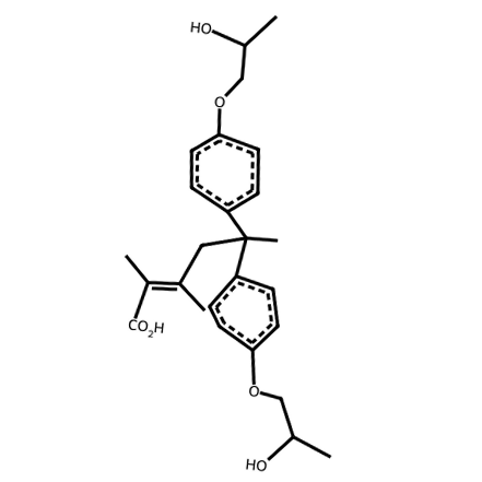 CC(CC(C)(c1ccc(OCC(C)O)cc1)c1ccc(OCC(C)O)cc1)=C(C)C(=O)O